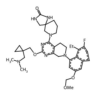 CCc1c(F)ccc2cc(OCOC)cc(N3CCc4c(nc(OCC5(CN(C)C)CC5)nc4N4CCCC5(CNC(=O)N5)C4)C3)c12